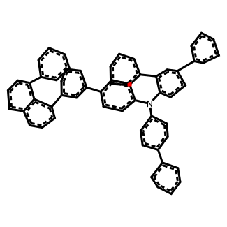 c1ccc(-c2ccc(N(c3ccc(-c4cccc(-c5cccc6cccc(-c7ccccc7)c56)c4)cc3)c3ccc(-c4ccccc4)cc3-c3ccccc3)cc2)cc1